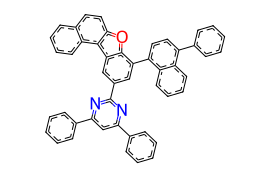 c1ccc(-c2cc(-c3ccccc3)nc(-c3cc(-c4ccc(-c5ccccc5)c5ccccc45)c4oc5ccc6ccccc6c5c4c3)n2)cc1